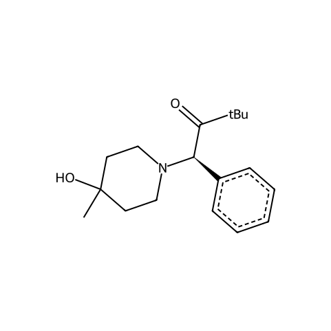 CC1(O)CCN([C@@H](C(=O)C(C)(C)C)c2ccccc2)CC1